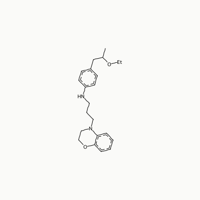 CCOC(C)Cc1ccc(NCCCN2CCOc3ccccc32)cc1